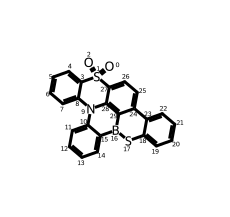 O=S1(=O)c2ccccc2N2c3ccccc3B3Sc4ccccc4-c4ccc1c2c43